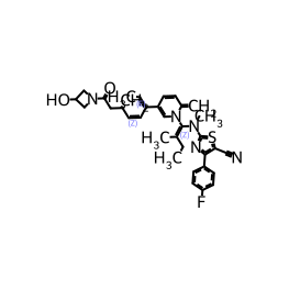 C=C(/C=C\C(=C/C)C1=CN(/C(=C(\C)CC)N(C)c2nc(-c3ccc(F)cc3)c(C#N)s2)C(=C)C=C1)CC(=O)N1CC(O)C1